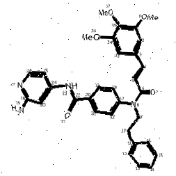 COc1cc(C=CC(=O)N(CCc2ccccc2)c2ccc(C(=O)Nc3ccnc(N)c3)cc2)cc(OC)c1OC